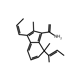 C=C(N)C1=C2C(=CC=CC2(C)/C(C)=C/C)C(/C=C\C)=C1C